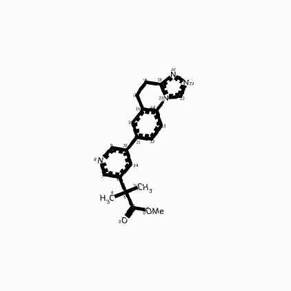 COC(=O)C(C)(C)c1cncc(-c2ccc3c(c2)CCc2nncn2-3)c1